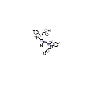 Cc1ccc2c(c1)C(C)(C)C(/C=C/C(C#N)=C/C=C1/N(CCOC=O)c3ccc(C)cc3C1(C)C)=[N+]2CCC(=O)O